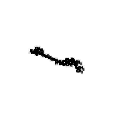 CC(C)CCC[C@@H](C)C1CCC2C3CC=C4C[C@@H](OOCNCCOCCOCCOCCOP(=O)(O)C(C)(C)C)CC[C@]4(C)C3CC[C@@]21C